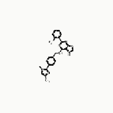 Cn1cc(C(F)(F)F)nc1-c1ccc(CNc2nc(-c3ccccc3C(F)(F)F)nc3nc[nH]c23)cc1